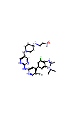 Cc1nc2c(F)cc(-c3cc(Nc4ncc(CN5CCC(NCCN=O)CC5)cn4)ncc3F)cc2n1C(C)C